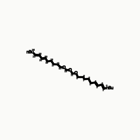 CCCCC=CC=CCCCCCOCOCOCCCCCC=CC=CCCCC